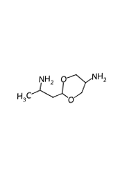 CC(N)CC1OCC(N)CO1